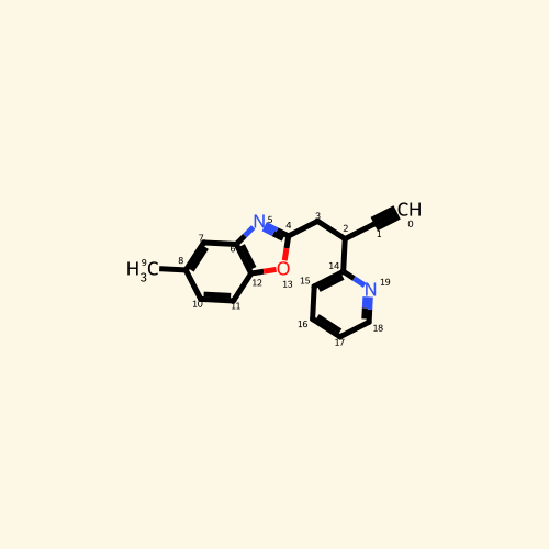 C#CC(Cc1nc2cc(C)ccc2o1)c1ccccn1